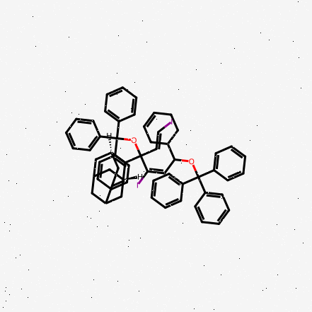 IC=CC(OC(c1ccccc1)(c1ccccc1)c1ccccc1)(/C(I)=C\C(OC(c1ccccc1)(c1ccccc1)c1ccccc1)C1CC=CCC1)C1[C@H]2CC3CC(C[C@H]1C3)C2